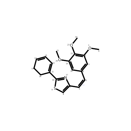 COc1cc(/C=C\c2csc(C3=CC=CCC3)n2)cc(OC)c1OC